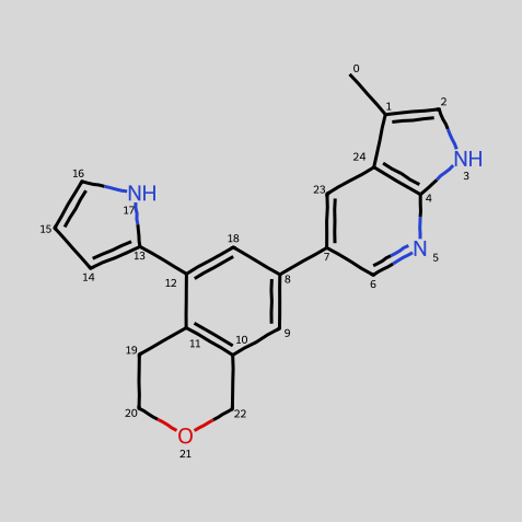 Cc1c[nH]c2ncc(-c3cc4c(c(-c5ccc[nH]5)c3)CCOC4)cc12